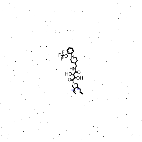 C=C/C=C1/CN(C(=O)[C@H](O)[C@@H](O)C(=O)NCC2CCN(c3ccccc3OC(F)(F)F)CC2)C/C1=C/C